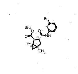 CC(C)(C)OC(=O)N1[C@H](C(=O)Nc2cccc(Br)n2)C[C@@]2(C)C[C@@H]12